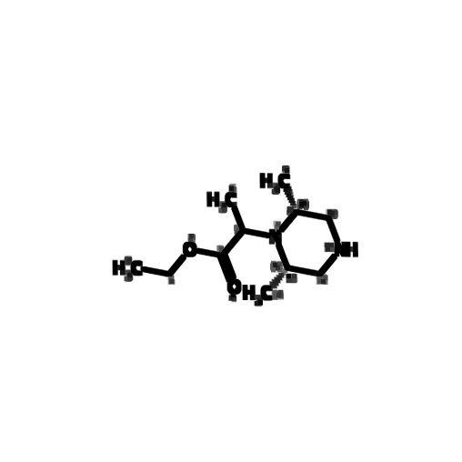 CCOC(=O)C(C)N1[C@H](C)CNC[C@@H]1C